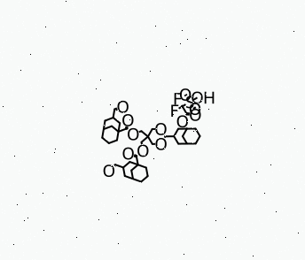 O=CC1CC2CCCC(C(=O)OCC3(COC(=O)C45CCCC(CC(C=O)C4)C5)COC(C4CC5CCCC(OC(=O)C(F)(F)S(=O)(=O)O)(C5)C4)OC3)(C1)C2